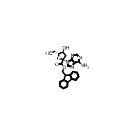 Nc1ncnc2c1ncn2[C@@]1(C(=O)OCC2c3ccccc3-c3ccccc32)C[C@H](O)[C@@H](CO)O1